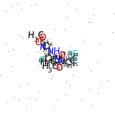 COC(=O)c1ccc(Nc2cc(F)ccc2CN2C(=O)N(c3ccc(F)c(C(F)(F)F)c3)C(=O)C2(C)C)cn1